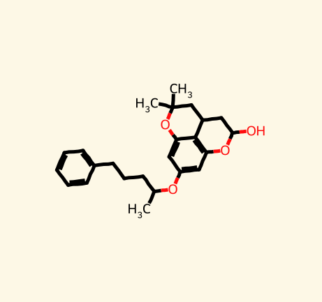 CC(CCCc1ccccc1)Oc1cc2c3c(c1)OC(C)(C)CC3CC(O)O2